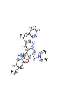 CCCN(CCC)Cc1nc2nc(-c3ncccc3C(F)(F)F)ccc2c2c1Oc1cc(C(F)(F)F)ccc1N2